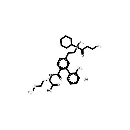 CCCC(=O)[N+](C)(CCc1ccc(C(=O)N[C@@H](CCSC)C(=O)O)c(-c2ccccc2C)c1)C1CCCCC1.[LiH]